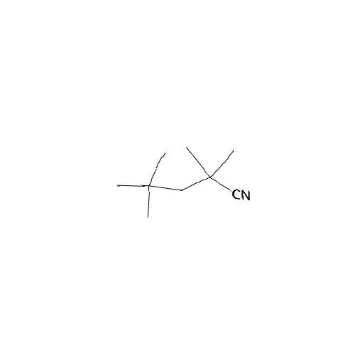 CC(C)(C)CC(C)(C)C#N